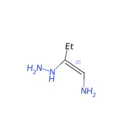 CC/C(=C/N)NN